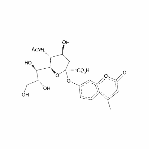 CC(=O)N[C@H]1[C@H]([C@H](O)[C@H](O)CO)O[C@@](Oc2ccc3c(C)cc(=O)oc3c2)(C(=O)O)C[C@@H]1O